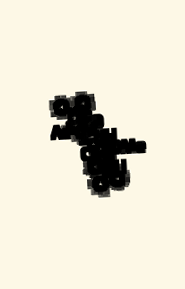 CON=C(C(=O)NC1C(=O)N2C(C(=O)OC(c3ccccc3)c3ccccc3)=C(SC(C)=O)CSC12)c1nc(NC(c2ccccc2)(c2ccccc2)c2ccccc2)sc1Cl